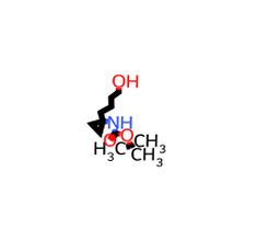 CC(C)(C)OC(=O)NC1(CCCCO)CC1